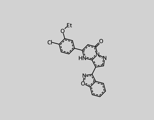 CCOc1cc(-c2cc(=O)n3ncc(-c4noc5ccccc45)c3[nH]2)ccc1Cl